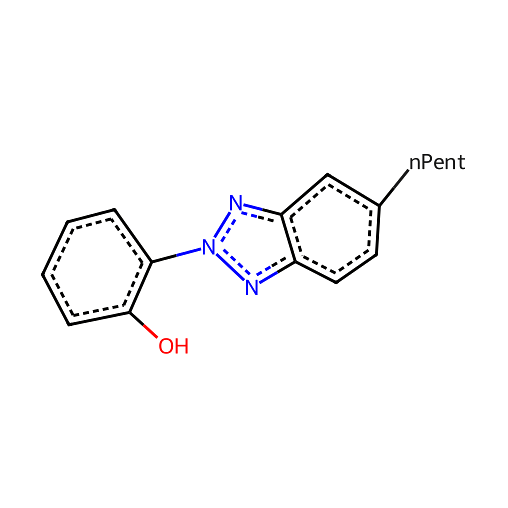 CCCCCc1ccc2nn(-c3ccccc3O)nc2c1